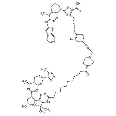 Cc1ncsc1-c1ccc([C@H](C)NC(=O)[C@@H]2C[C@@H](O)CN2C(=O)C(NC(=O)CCCCCCCCCCC(=O)N2CCN(CC#Cc3ccc(OCCCc4sc(N5CCCc6c5nnc(Nc5nc7ccccc7s5)c6C)nc4C(=O)O)c(F)c3)CC2)C(C)(C)C)cc1